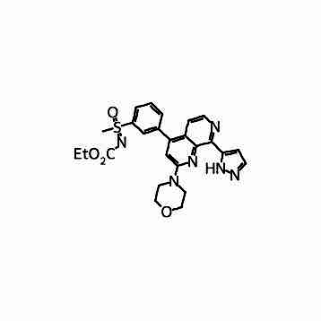 CCOC(=O)N=S(C)(=O)c1cccc(-c2cc(N3CCOCC3)nc3c(-c4ccn[nH]4)nccc23)c1